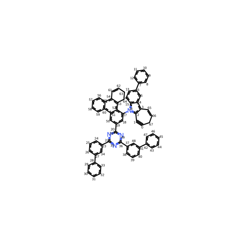 C1#Cc2c(c3cc(-c4ccccc4)ccc3n2-c2cc(-c3nc(-c4cccc(-c5ccccc5)c4)nc(-c4cccc(-c5ccccc5)c4)n3)cc3c2c2c(c4ccccc43)C=CCC2)C=CC1